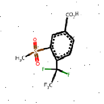 CS(=O)(=O)c1cc(C(=O)O)ccc1C(F)(F)C(F)(F)F